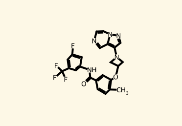 Cc1ccc(C(=O)Nc2cc(F)cc(C(F)(F)F)c2)cc1OC1CN(c2cnn3ccncc23)C1